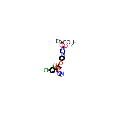 CCC(OC(=O)N1CCN(c2ccc(OCC3COC(Cn4ccnc4)(c4ccc(Cl)cc4Cl)O3)cc2)CC1)C(=O)O